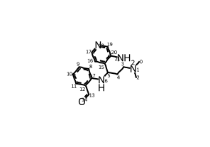 CN(C)CCC(Nc1ccccc1C=O)c1ccncc1N